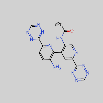 CCCC(=O)Nc1cnc(-c2nncnn2)cc1-c1nc(-c2nncnn2)ccc1N